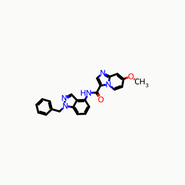 COc1ccn2c(C(=O)Nc3cccc4c3cnn4Cc3ccccc3)cnc2c1